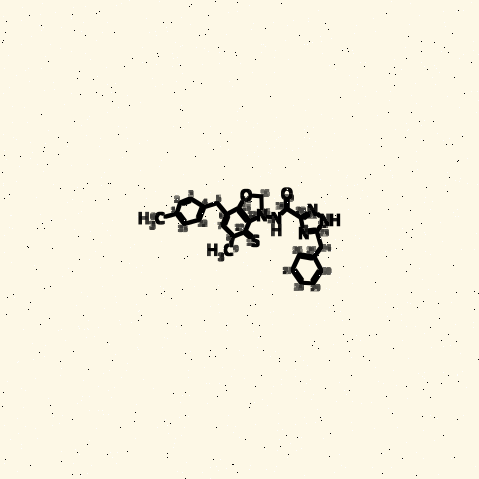 Cc1ccc(CC2=C[C@H](C)C(=S)C3=C2OCN3NC(=O)c2n[nH]c(Cc3ccccc3)n2)cc1